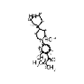 Cc1nc(N2CCC(C3CCNCC3)CC2)ccc1C(=O)N(C)C.Cl